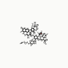 C#CCOCCC(=O)N(C)CC(=O)Nc1cc(COC(=O)N[C@H]2CCc3c(C)c(F)cc4nc5c(c2c34)Cn2c-5cc3c(c2=O)COC(=O)[C@]3(O)CC)ccc1O[C@H]1OC(C(=O)OC)[C@@H](OC(C)=O)C(OC(C)=O)C1OC(C)=O